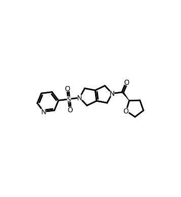 O=C([C@H]1CCCO1)N1CC2=C(C1)CN(S(=O)(=O)c1cccnc1)C2